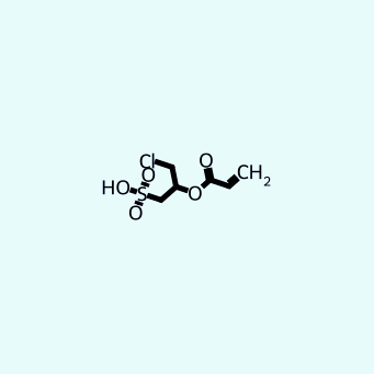 C=CC(=O)OC(CCl)CS(=O)(=O)O